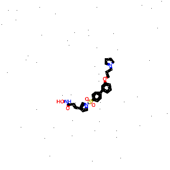 O=C(C=Cc1ccn(S(=O)(=O)c2ccc(-c3cccc(OCCCN4CCCC4)c3)cc2)c1)NO